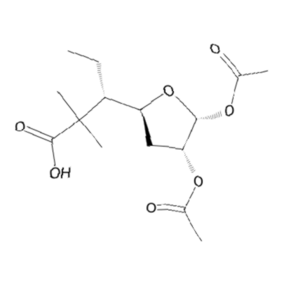 CC[C@H]([C@@H]1C[C@@H](OC(C)=O)[C@@H](OC(C)=O)O1)C(C)(C)C(=O)O